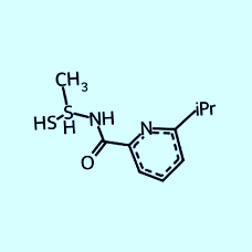 CC(C)c1cccc(C(=O)N[SH](C)S)n1